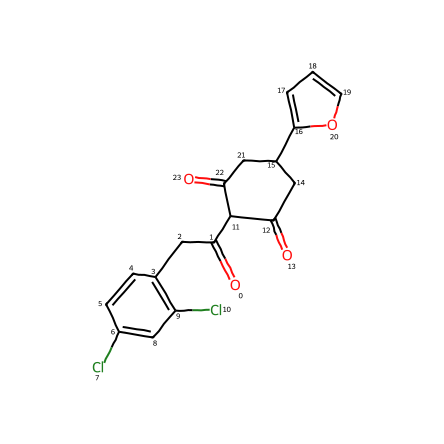 O=C(Cc1ccc(Cl)cc1Cl)C1C(=O)CC(c2ccco2)CC1=O